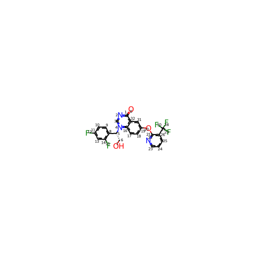 O=c1ncn([C@H](CO)c2ccc(F)cc2F)c2ccc(Oc3ncccc3C(F)(F)F)cc12